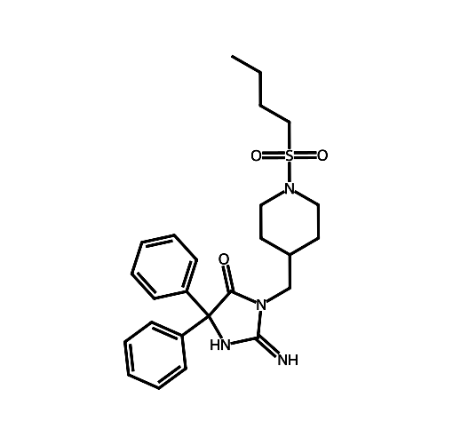 CCCCS(=O)(=O)N1CCC(CN2C(=N)NC(c3ccccc3)(c3ccccc3)C2=O)CC1